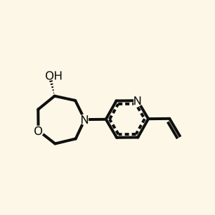 C=Cc1ccc(N2CCOC[C@H](O)C2)cn1